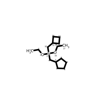 CCO[Si](CC1CCCC1)(CC1CCC1)OCC